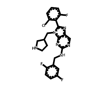 Fc1ccc(F)c(CNc2ncc3nc(-c4c(F)cccc4Cl)n(CC4CCNC4)c3n2)c1